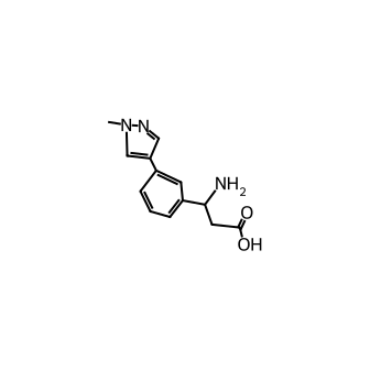 Cn1cc(-c2cccc(C(N)CC(=O)O)c2)cn1